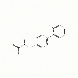 C=C(C)C(=O)Oc1ccc(-c2ccccc2CC)cc1